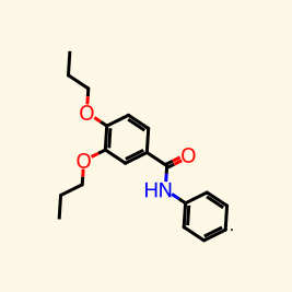 CCCOc1ccc(C(=O)Nc2cc[c]cc2)cc1OCCC